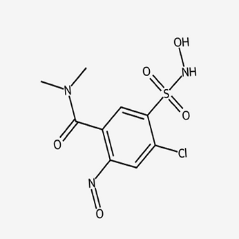 CN(C)C(=O)c1cc(S(=O)(=O)NO)c(Cl)cc1N=O